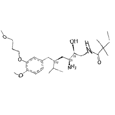 CCC(C)(C)C(=O)NC[C@H](O)[C@@H](N)C[C@H](Cc1ccc(OC)c(OCCCOC)c1)C(C)C